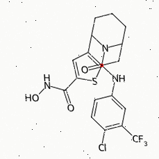 O=C(NO)c1cc2c(s1)CC1CCCC2N1C(=O)Nc1ccc(Cl)c(C(F)(F)F)c1